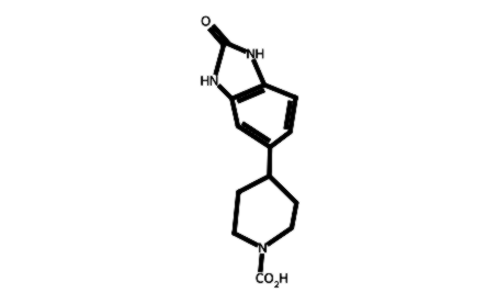 O=C(O)N1CCC(c2ccc3[nH]c(=O)[nH]c3c2)CC1